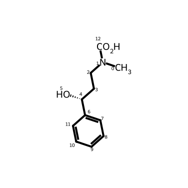 CN(CC[C@@H](O)c1ccccc1)C(=O)O